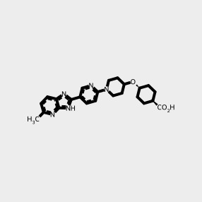 Cc1ccc2nc(-c3ccc(N4CCC(O[C@H]5CC[C@H](C(=O)O)CC5)CC4)nc3)[nH]c2n1